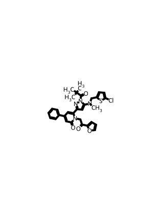 CN(Cc1ccc(Cl)s1)c1cc(-c2cc(-c3ccccc3)cc(=O)n2CC(=O)c2ccco2)nn1C(=O)C(C)(C)C